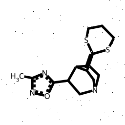 Cc1noc(C2CN3CCC2C(=C2SCCCS2)C3)n1